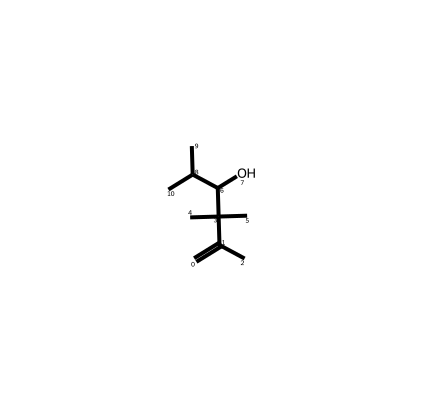 C=C(C)C(C)(C)C(O)C(C)C